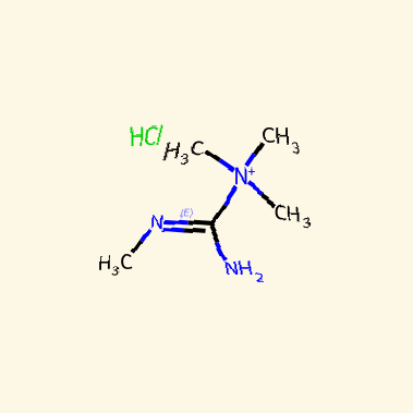 C/N=C(\N)[N+](C)(C)C.Cl